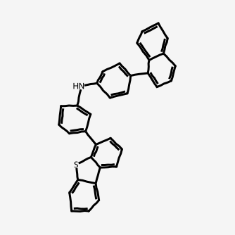 c1cc(Nc2ccc(-c3cccc4ccccc34)cc2)cc(-c2cccc3c2sc2ccccc23)c1